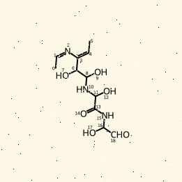 C/C=N\C(=C/C)C(O)C(O)NC(O)C(=O)NC(O)C=O